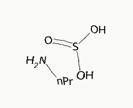 CCCN.O=S(O)O